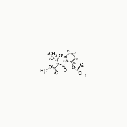 COC(=O)C(C(=O)OC)C(=O)c1ccccc1OC(C)=O